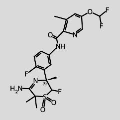 Cc1cc(OC(F)F)cnc1C(=O)Nc1ccc(F)c([C@@]2(C)N=C(N)C(C)(C)S(=O)(=O)C2F)c1